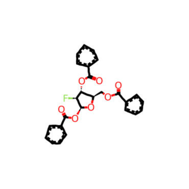 O=C(OC[C@H]1O[C@@H](OC(=O)c2ccccc2)[C@@H](F)[C@@H]1OC(=O)c1ccccc1)c1ccccc1